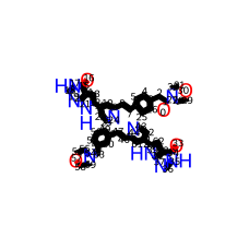 O=C(Cc1ccc(/C=C/c2cc(-c3cc4c(=O)[nH]cnc4[nH]3)ccn2)cc1)N1CCOCC1.O=c1[nH]cnc2[nH]c(-c3ccnc(/C=C/c4cccc(CN5CCOCC5)c4)c3)cc12